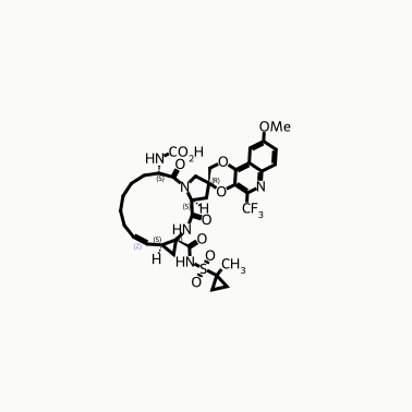 COc1ccc2nc(C(F)(F)F)c3c(c2c1)OC[C@]1(C[C@H]2C(=O)N[C@]4(C(=O)NS(=O)(=O)C5(C)CC5)C[C@H]4/C=C\CCCCC[C@H](NC(=O)O)C(=O)N2C1)O3